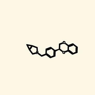 c1ccc2c(c1)OC[C@H](c1ccc(CN3CC4CC4C3)cc1)O2